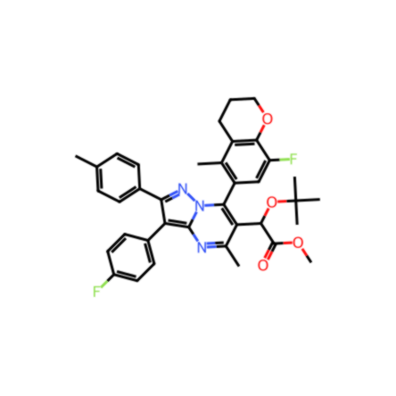 COC(=O)C(OC(C)(C)C)c1c(C)nc2c(-c3ccc(F)cc3)c(-c3ccc(C)cc3)nn2c1-c1cc(F)c2c(c1C)CCCO2